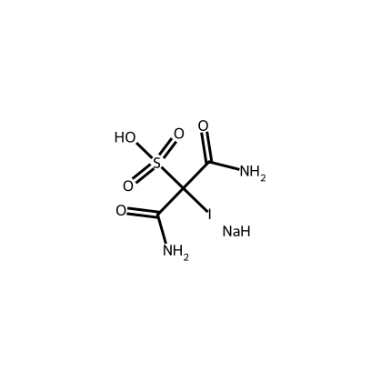 NC(=O)C(I)(C(N)=O)S(=O)(=O)O.[NaH]